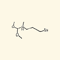 COC(OC)[SiH](C)CCCS